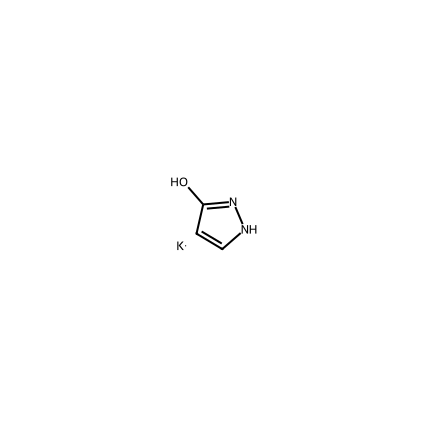 Oc1cc[nH]n1.[K]